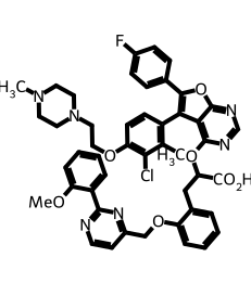 COc1ccccc1-c1nccc(COc2ccccc2CC(Oc2ncnc3oc(-c4ccc(F)cc4)c(-c4ccc(OCCN5CCN(C)CC5)c(Cl)c4C)c23)C(=O)O)n1